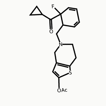 CC(=O)Oc1cc2c(s1)CCN(CC1C=CC=CC1(F)C(=O)C1CC1)C2